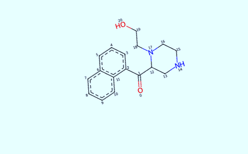 O=C(c1cccc2ccccc12)C1CNCCN1CCO